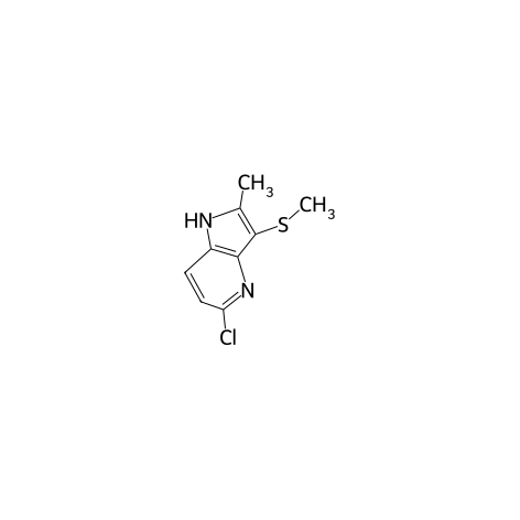 CSc1c(C)[nH]c2ccc(Cl)nc12